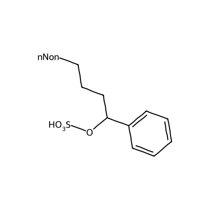 CCCCCCCCCCCCC(OS(=O)(=O)O)c1ccccc1